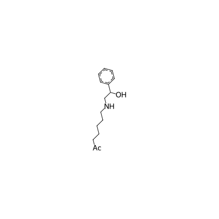 CC(=O)CCCCCNCC(O)c1ccccc1